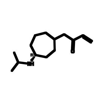 C=CC(=O)CC1CCC[C@@H](NC(C)C)CC1